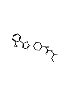 CCC(C)OC(=O)N[C@H]1CC[C@H](c2ncc(-c3ccccc3N)s2)CC1